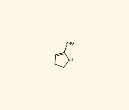 O=CC1=CCCN1